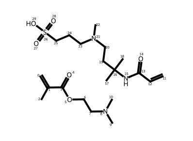 C=C(C)C(=O)OCCN(C)C.C=CC(=O)NC(C)(C)CCN(C)CCCS(=O)(=O)O